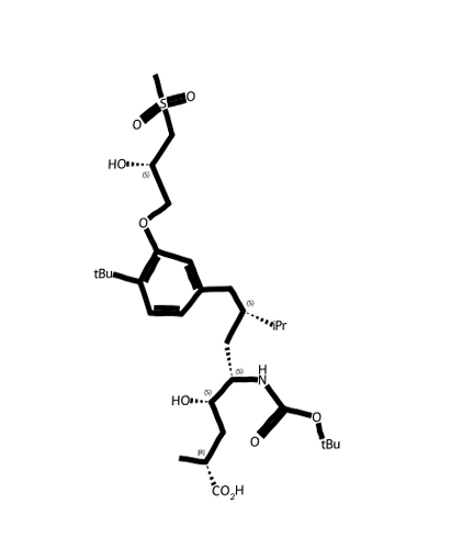 CC(C)[C@@H](Cc1ccc(C(C)(C)C)c(OC[C@H](O)CS(C)(=O)=O)c1)C[C@H](NC(=O)OC(C)(C)C)[C@@H](O)C[C@@H](C)C(=O)O